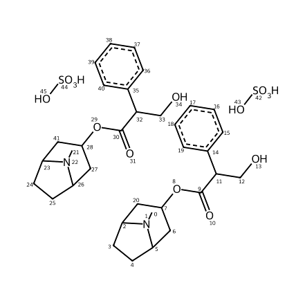 CN1C2CCC1CC(OC(=O)C(CO)c1ccccc1)C2.CN1C2CCC1CC(OC(=O)C(CO)c1ccccc1)C2.O=S(=O)(O)O.O=S(=O)(O)O